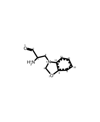 NC([C]=O)CN1COc2ccccc21